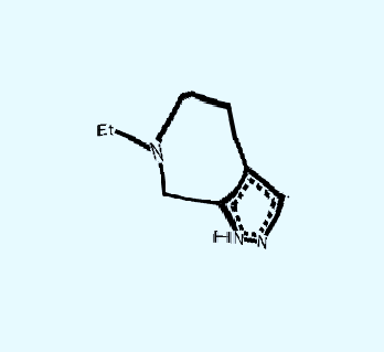 CCN1CCc2[c]n[nH]c2C1